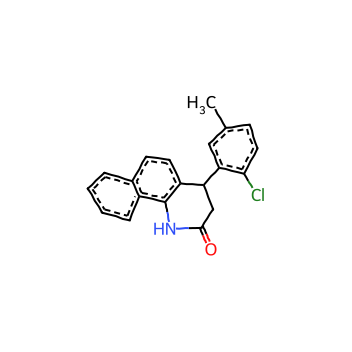 Cc1ccc(Cl)c(C2CC(=O)Nc3c2ccc2ccccc32)c1